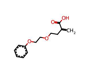 C=C(CCOCCOc1ccccc1)C(=O)O